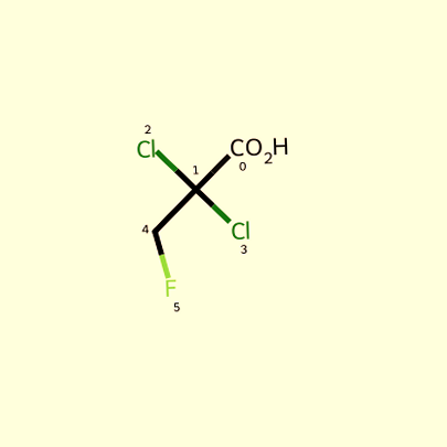 O=C(O)C(Cl)(Cl)CF